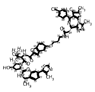 Cc1ncsc1-c1ccc([C@H](C)NC(=O)[C@@H]2C[C@@H](O)CN2C(=O)C(NC(=O)c2cc3cc(OCCCNC(=O)C[C@@H]4N=C(c5ccc(Cl)cc5)c5c(sc(C)c5C)-n5c(C)nnc54)ccc3o2)C(C)(C)C)cc1